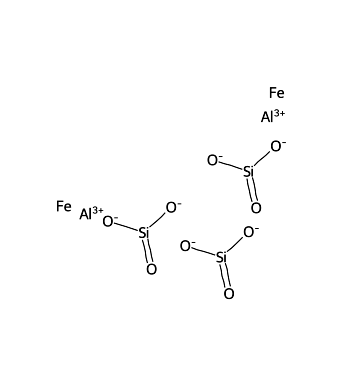 O=[Si]([O-])[O-].O=[Si]([O-])[O-].O=[Si]([O-])[O-].[Al+3].[Al+3].[Fe].[Fe]